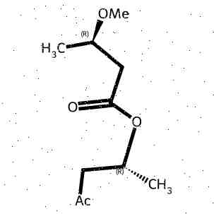 CO[C@H](C)CC(=O)O[C@H](C)CC(C)=O